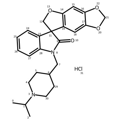 CC(C)N1CCC(CN2C(=O)C3(COc4cc5c(cc43)OCO5)c3ccccc32)CC1.Cl